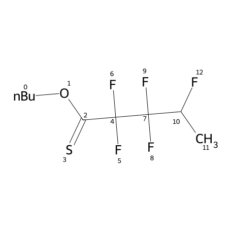 CCCCOC(=S)C(F)(F)C(F)(F)C(C)F